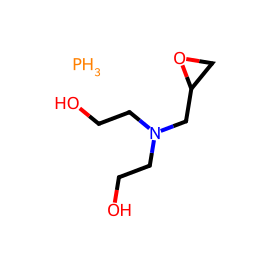 OCCN(CCO)CC1CO1.P